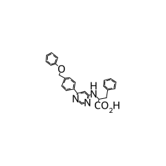 O=C(O)C(Cc1ccccc1)Nc1cc(-c2ccc(COc3ccccc3)cc2)ncn1